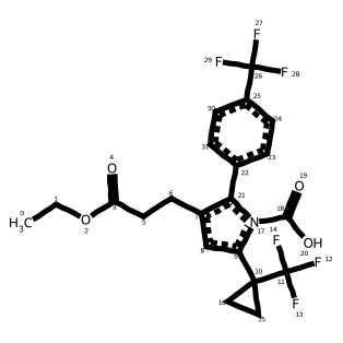 CCOC(=O)CCc1cc(C2(C(F)(F)F)CC2)n(C(=O)O)c1-c1ccc(C(F)(F)F)cc1